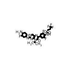 CC(C)n1c(=O)c(-c2cc(F)c(NS(=O)(=O)CCC(F)(F)F)c(F)c2)nc2cnc(NC3CCC(N)C(F)C3)nc21